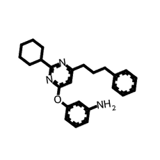 Nc1cccc(Oc2cc(CCCc3ccccc3)nc(C3CCCCC3)n2)c1